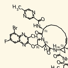 Cc1cnc(C(=O)N[C@H]2CCCCCC=C[C@@H]3C[C@@]3(C(=O)NS(=O)(=O)C3(C)CC3)NC(=O)[C@@H]3C[C@@H](Oc4nc5cc(F)cc(Br)c5nc4C)CN3C2=O)cn1